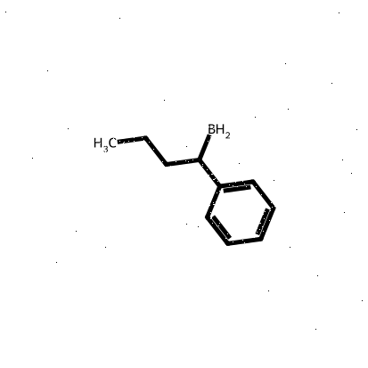 BC(CCC)c1ccccc1